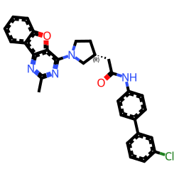 Cc1nc(N2CC[C@H](CC(=O)Nc3ccc(-c4cccc(Cl)c4)cc3)C2)c2oc3ccccc3c2n1